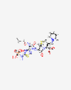 CCCO/N=C(/C(=O)NC1C(=O)N2C(C(=O)[O-])=C(C[n+]3ccccc3)CS[C@H]12)c1nsc(NP(=O)(O)O)n1